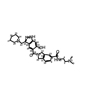 CN(C)CCNC(=O)c1ccc2c(c1)CN(C(=O)c1cc3c(CN4CCCCC4)n[nH]c3cc1O)C2